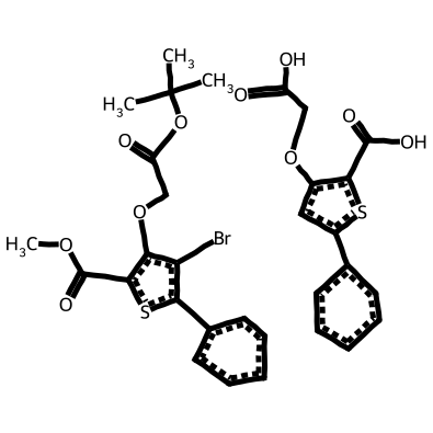 COC(=O)c1sc(-c2ccccc2)c(Br)c1OCC(=O)OC(C)(C)C.O=C(O)COc1cc(-c2ccccc2)sc1C(=O)O